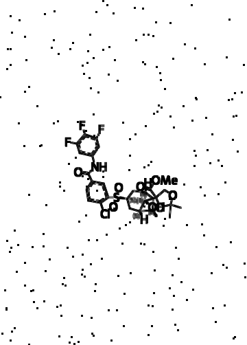 COC(=O)C1([C@@]2(O)[C@@H]3C[C@H](S(=O)(=O)c4cc(C(=O)Nc5cc(F)c(F)c(F)c5)ccc4Cl)C[C@H]2[C@H](C)C3)COC(C)(C)O1